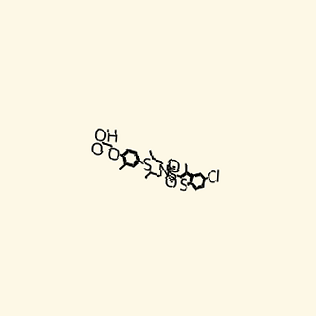 CCCN(CC(C)Sc1ccc(OCC(=O)O)c(C)c1)S(=O)(=O)c1sc2ccc(Cl)cc2c1C